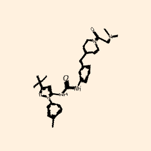 Cc1ccc(-n2nc(C(C)(C)C)cc2NC(=O)Nc2cccc(CC3CCN(C(=O)CN(C)C)CC3)c2)cc1